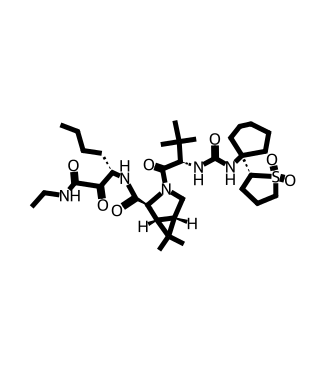 CCCC[C@H](NC(=O)[C@@H]1[C@@H]2[C@H](CN1C(=O)[C@@H](NC(=O)NC1([C@H]3CCCS3(=O)=O)CCCCC1)C(C)(C)C)C2(C)C)C(=O)C(=O)NCC